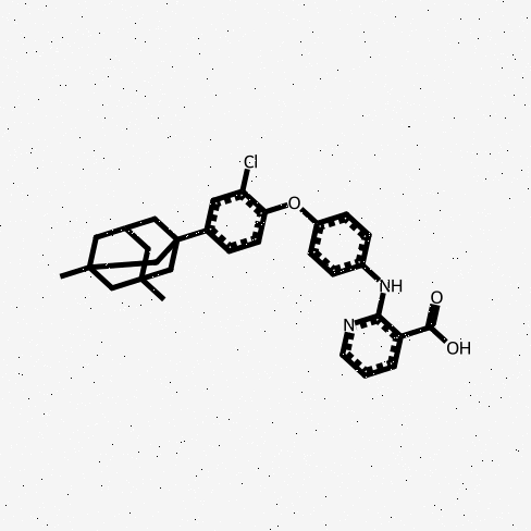 CC12CC3CC(C)(C1)CC(c1ccc(Oc4ccc(Nc5ncccc5C(=O)O)cc4)c(Cl)c1)(C3)C2